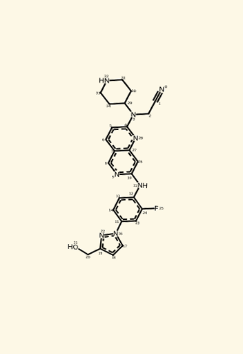 N#CCN(c1ccc2cnc(Nc3ccc(-n4ccc(CO)n4)cc3F)cc2n1)C1CCNCC1